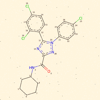 O=C(NC1CCCCC1)c1nc(-c2ccc(Cl)cc2Cl)n(-c2ccc(Cl)cc2)n1